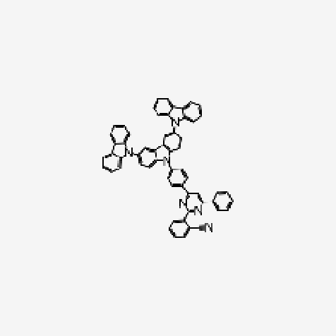 N#Cc1ccccc1-c1nc(-c2ccccc2)cc(-c2ccc(-n3c4ccc(-n5c6ccccc6c6ccccc65)cc4c4cc(-n5c6ccccc6c6ccccc65)ccc43)cc2)n1